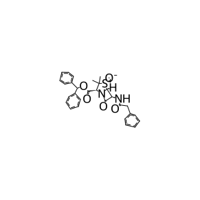 CC1(C)[C@H](C(=O)OC(c2ccccc2)c2ccccc2)N2C(=O)[C@H](NC(=O)Cc3ccccc3)[C@H]2[S@@+]1[O-]